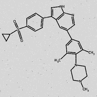 Cc1cc(-c2cnc3[nH]cc(-c4ccc(S(=O)(=O)C5CC5)cc4)c3c2)cc(C)c1N1CCN(C)CC1